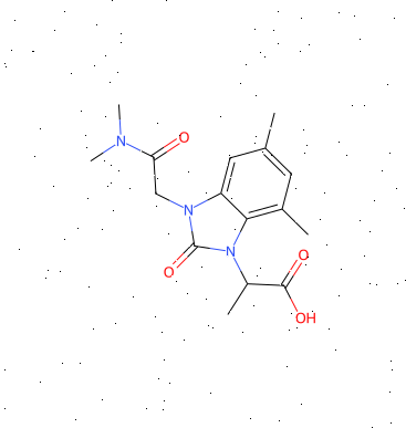 Cc1cc(C)c2c(c1)n(CC(=O)N(C)C)c(=O)n2C(C)C(=O)O